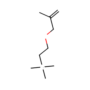 C=C(C)COCC[Si](C)(C)C